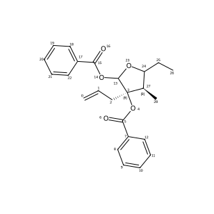 C=CC[C@]1(OC(=O)c2ccccc2)C(OC(=O)c2ccccc2)OC(CC)[C@H]1C